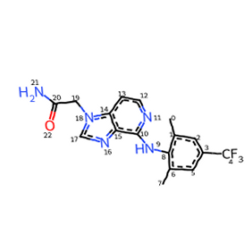 Cc1cc(C(F)(F)F)cc(C)c1Nc1nccc2c1ncn2CC(N)=O